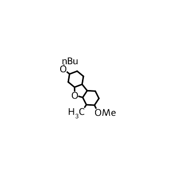 CCCCOC1CCC2C(C1)OC1C(C)C(OC)CCC21